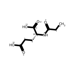 CCC(=O)N[C@H](CCC(=O)O)C(=O)O